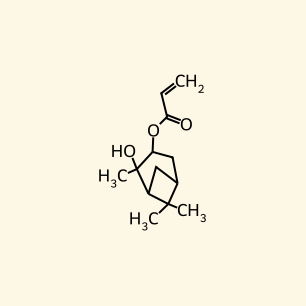 C=CC(=O)OC1CC2CC(C2(C)C)C1(C)O